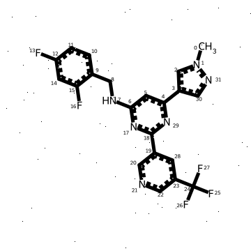 Cn1cc(-c2cc(NCc3ccc(F)cc3F)nc(-c3cncc(C(F)(F)F)c3)n2)cn1